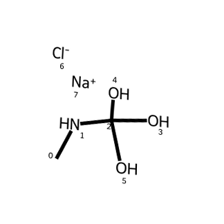 CNC(O)(O)O.[Cl-].[Na+]